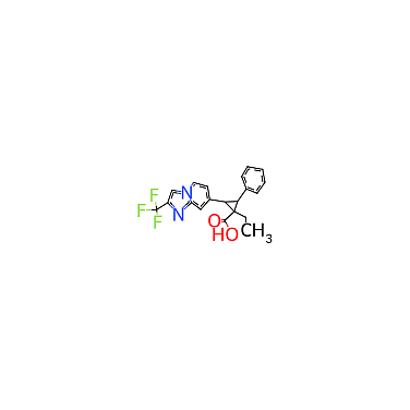 CCC1(C(=O)O)C(c2ccccc2)C1c1ccn2cc(C(F)(F)F)nc2c1